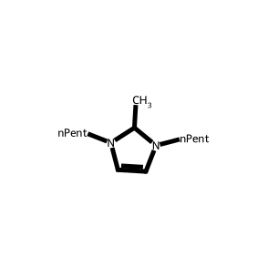 CCCCCN1C=CN(CCCCC)C1C